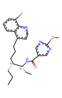 CCC[C@H](CCCc1ccnc2c(F)cccc12)[C@@H](CC)NC(=O)c1cnc(OC)nc1